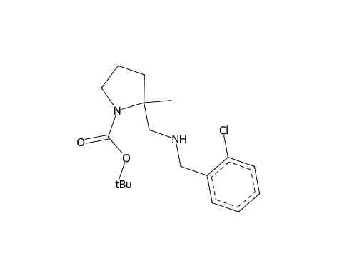 CC(C)(C)OC(=O)N1CCCC1(C)CNCc1ccccc1Cl